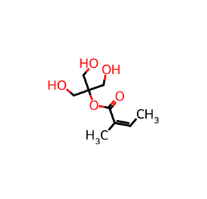 CC=C(C)C(=O)OC(CO)(CO)CO